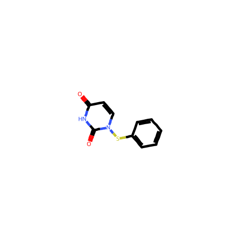 O=c1ccn(Sc2ccccc2)c(=O)[nH]1